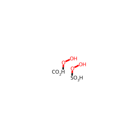 O=C(O)OO.O=S(=O)(O)OO